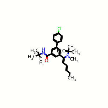 CC/C=C/C=C(/c1cc(C(=O)NC(C)(C)C)cc(-c2ccc(Cl)cc2)c1)N(C)C(C)(C)C